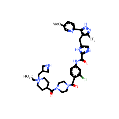 COc1ccc(-c2[nH]nc(C(F)(F)F)c2Cc2cnc(C(=O)Nc3ccc(C(=O)N4CCN(C(=O)C5CC[N+](CC(=O)O)(CC6CNC6)CC5)CC4)c(Cl)c3)[nH]2)nc1